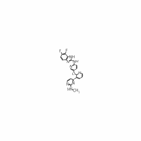 CNc1nccc(-c2cccnc2Oc2ccc(Nc3nc4ccc(F)c(F)c4[nH]3)nc2)n1